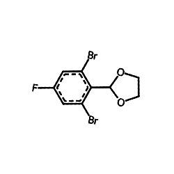 Fc1cc(Br)c(C2OCCO2)c(Br)c1